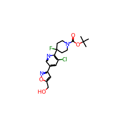 CC(C)(C)OC(=O)N1CCC(F)(c2ncc(-c3cc(CO)on3)cc2Cl)CC1